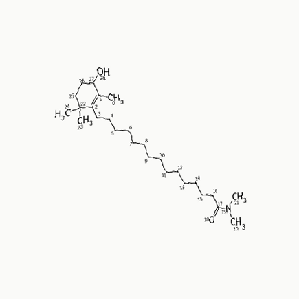 CC1=C(CCCCCCCCCCCCCCC(=O)N(C)C)C(C)(C)CCC1O